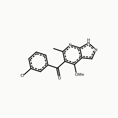 COc1c(C(=O)c2cccc(Cl)c2)c(C)nc2[nH]ncc12